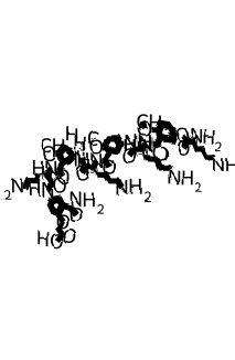 COc1ccc(NC(=O)[C@H](CCCCN)NC(=O)c2cc(NC(=O)[C@H](CCCCN)NC(=O)c3cc(OC(=O)[C@@H](N)CCCCN)ccc3OC)ccc2OC)cc1C(=O)N[C@@H](CCCCN)C(=O)Nc1ccc(OCC(=O)O)c(C(N)=O)c1